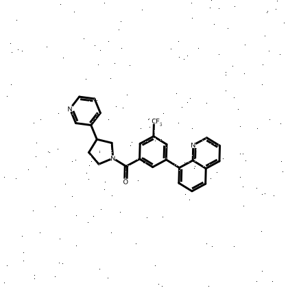 O=C(c1cc(-c2cccc3cccnc23)cc(C(F)(F)F)c1)N1CCC(c2cccnc2)C1